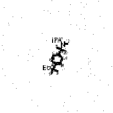 CCC(C)(C)c1ccc(C(C)(C)N(C)C(C)C)cc1